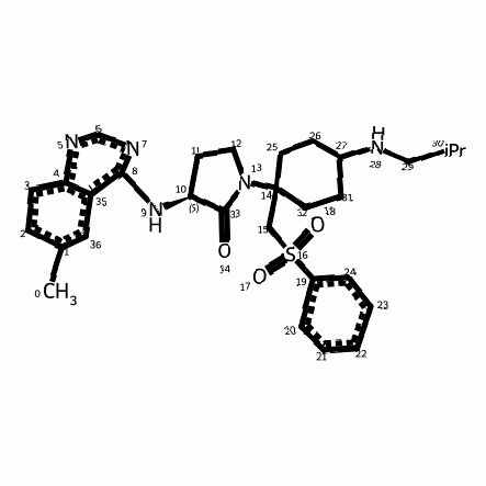 Cc1ccc2ncnc(N[C@H]3CCN(C4(CS(=O)(=O)c5ccccc5)CCC(NCC(C)C)CC4)C3=O)c2c1